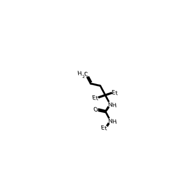 C=CCC(CC)(CC)NC(=O)NCC